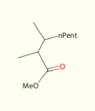 CCCCCC(C)C(C)C(=O)OC